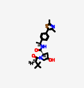 [2H][C@H](C(=O)N1C[C@H](O)C[C@H]1C(=O)N[C@@H](C)c1ccc(-c2sc(C)nc2C)cc1)C(C)(C)C